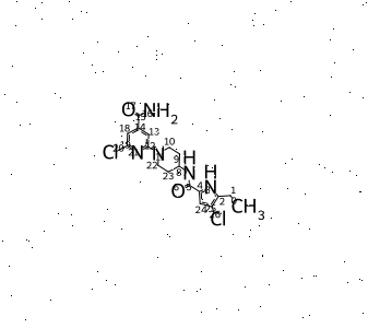 CCc1[nH]c(C(=O)NC2CCN(c3cc(C(N)=O)cc(Cl)n3)CC2)cc1Cl